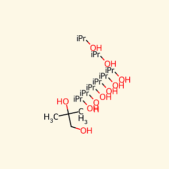 CC(C)(O)CO.CC(C)O.CC(C)O.CC(C)O.CC(C)O.CC(C)O.CC(C)O.CC(C)O.CC(C)O